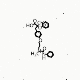 CN(CCCOc1ccc(C[C@](C)(Oc2ccccc2)C(=O)O)cc1)C(=O)Nc1ccccc1